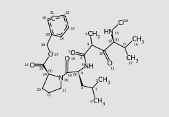 CC(C)C[C@H](NC(=O)C(C)C(=O)[C@@H](NCl)C(C)C)C(=O)N1CCC[C@H]1C(=O)OCc1ccccc1